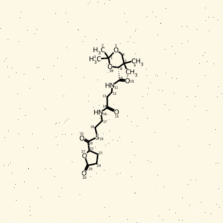 CC1(C)OCC(C)(C)[C@H](C(=O)NCCC(=O)NCCSC(=O)C2CCC(=O)O2)O1